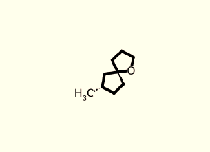 C[C@H]1CC[C@]2(CCCO2)C1